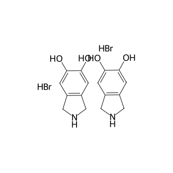 Br.Br.Oc1cc2c(cc1O)CNC2.Oc1cc2c(cc1O)CNC2